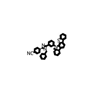 CC12C=CC=CC1c1ccc3c(sc4ccccc43)c1N2c1cccc(C2=N[C@H](c3ccc(C#N)cc3)N2Cc2ccccc2)c1